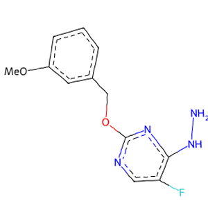 COc1cccc(COc2ncc(F)c(NN)n2)c1